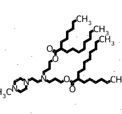 CCCCCCCCC(CCCCCC)C(=O)OCCCN(CCCOC(=O)C(CCCCCC)CCCCCCCC)CCN1CCN(C)CC1